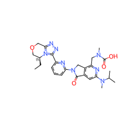 CC[C@H]1COCc2nnc(-c3cccc(N4Cc5c(cc(N(C)C(C)C)nc5CN(C)C(=O)O)C4=O)n3)n21